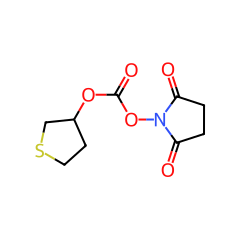 O=C(OC1CCSC1)ON1C(=O)CCC1=O